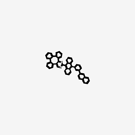 c1cc(-c2ccc3ccccc3c2)cc(-c2c3ccccc3c(-c3ncc4c(n3)-c3ccccc3-c3ccccc3-c3ccccc3-4)c3ccccc23)c1